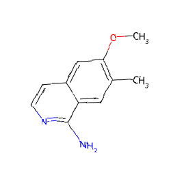 COc1cc2ccnc(N)c2cc1C